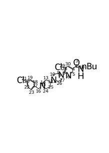 CCCCNC(=O)c1cnc(N2CCN(C3CCN(Cc4ccc(Cl)cc4)CC3)CC2)c(Cl)c1